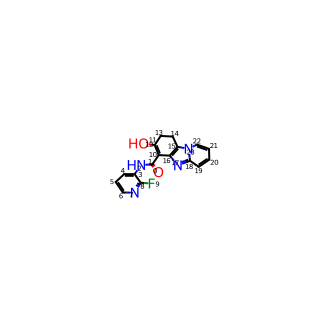 O=C(Nc1cccnc1F)C1=C(O)CCc2c1nc1ccccn21